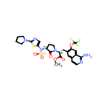 COC(=O)[C@@H](Cc1cc2ccnc(N)c2cc1OC(F)(F)F)N1CC[C@H](N(c2cnc(N3CCCC3)s2)[SH](=O)=O)C1=O